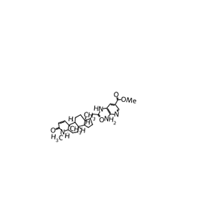 COC(=O)c1cnc(N)c(NC(=O)C[C@H]2CC[C@H]3[C@@H]4CC[C@H]5N(C)C(=O)C=C[C@]5(C)[C@H]4CC[C@]23C)c1